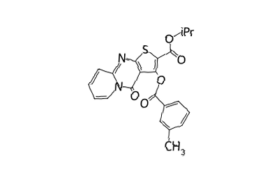 Cc1cccc(C(=O)Oc2c(C(=O)OC(C)C)sc3nc4ccccn4c(=O)c23)c1